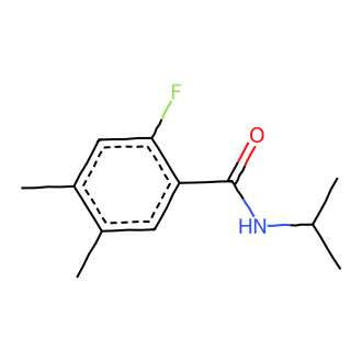 Cc1cc(F)c(C(=O)NC(C)C)cc1C